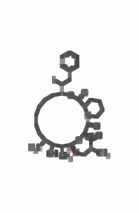 CC1CC[C@H]2OC(O)(C1=O)C(=O)N1CCCCC1C(=O)OC(C(I)Cc1ccccc1)CCCCCCC(C)C(O)C2C